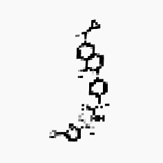 O=C(Nc1ccc(-n2ccc3cc(NC4CC4)ccc3c2=O)cc1)NS(=O)(=O)c1ccc(Cl)s1